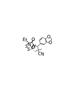 CC[C@@]12SS[C@@]3(C[C@](C)(C#N)C(c4ccc5c(c4)OCO5)N3C1=O)C(=O)N2C